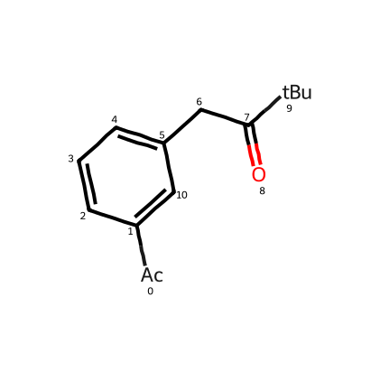 CC(=O)c1cccc(CC(=O)C(C)(C)C)c1